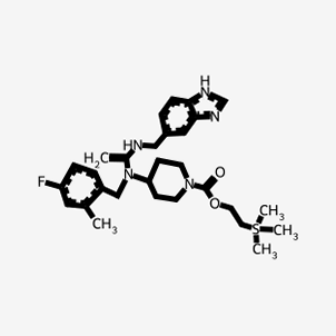 C=C(NCc1ccc2[nH]cnc2c1)N(Cc1ccc(F)cc1C)C1CCN(C(=O)OCCS(C)(C)C)CC1